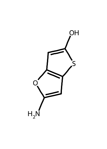 Nc1cc2sc(O)cc2o1